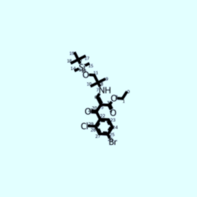 CCOC(=O)/C(=C\NC(C)(C)CO[Si](C)(C)C(C)(C)C)C(=O)c1ccc(Br)cc1Cl